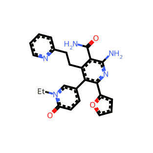 CCn1cc(-c2c(-c3ccco3)nc(N)c(C(N)=O)c2CCc2ccccn2)ccc1=O